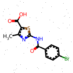 Cc1nc(NC(=O)c2ccc(Br)cc2)sc1C(=O)O